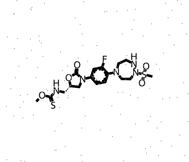 COC(=S)NC[C@H]1CN(c2ccc(N3CCNN(S(C)(=O)=O)CC3)c(F)c2)C(=O)O1